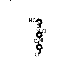 N#Cc1cccc(COc2ccc(NC(=O)c3ccc(CCl)cc3)cc2Cl)n1